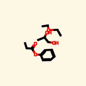 CC(O)CO.CCC(=O)Oc1ccccc1.CCOCC